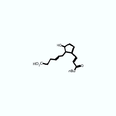 CCCCC(=O)C=CC1CCC(O)C1CC=CCCC(=O)O